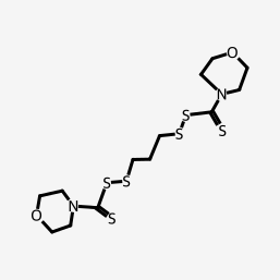 S=C(SSCCCSSC(=S)N1CCOCC1)N1CCOCC1